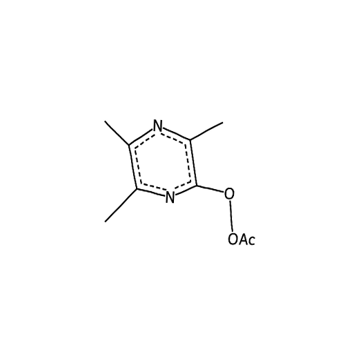 CC(=O)OOc1nc(C)c(C)nc1C